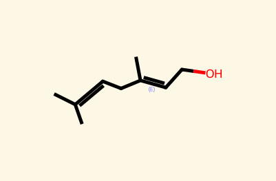 CC(C)=CC/C(C)=C/CO